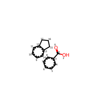 O=C(O)c1ccccc1.c1ccc2c(c1)CCC2